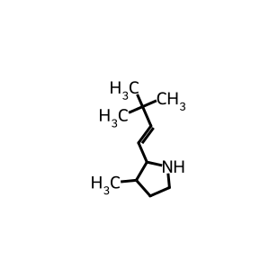 CC1CCNC1/C=C/C(C)(C)C